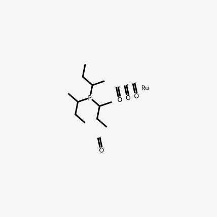 CCC(C)P(C(C)CC)C(C)CC.[C]=O.[C]=O.[C]=O.[C]=O.[Ru]